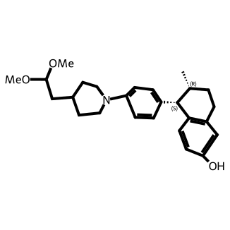 COC(CC1CCN(c2ccc([C@H]3c4ccc(O)cc4CC[C@H]3C)cc2)CC1)OC